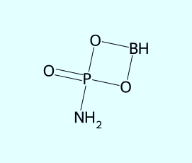 NP1(=O)OBO1